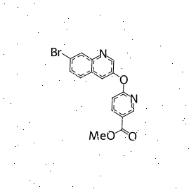 COC(=O)c1ccc(Oc2cnc3cc(Br)ccc3c2)nc1